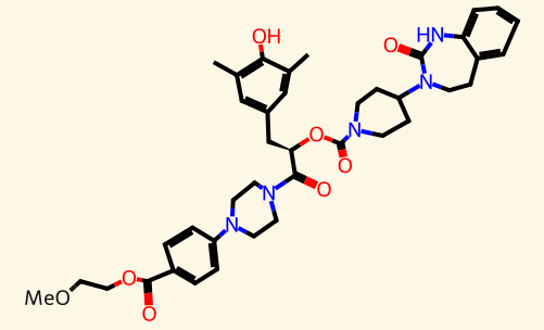 COCCOC(=O)c1ccc(N2CCN(C(=O)[C@@H](Cc3cc(C)c(O)c(C)c3)OC(=O)N3CCC(N4CCc5ccccc5NC4=O)CC3)CC2)cc1